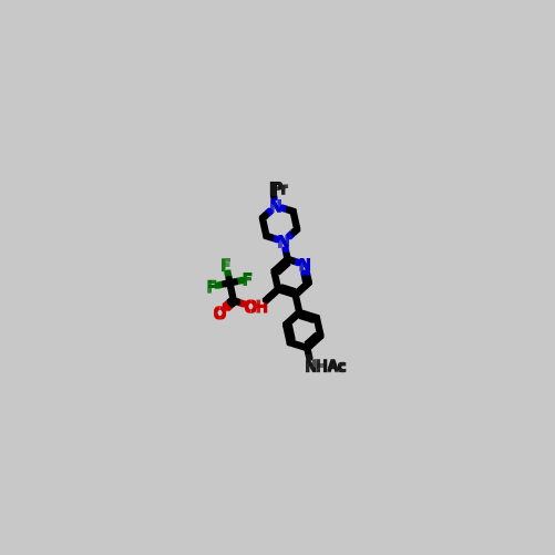 CC(=O)Nc1ccc(-c2cnc(N3CCN(C(C)C)CC3)cc2C)cc1.O=C(O)C(F)(F)F